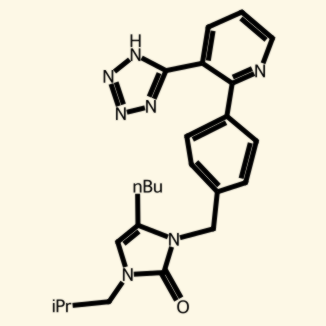 CCCCc1cn(CC(C)C)c(=O)n1Cc1ccc(-c2ncccc2-c2nnn[nH]2)cc1